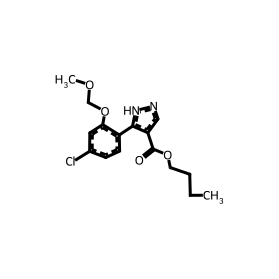 CCCCOC(=O)c1cn[nH]c1-c1ccc(Cl)cc1OCOC